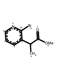 COC(=O)C(C)c1cccnc1Br